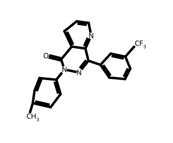 Cc1ccc(-n2nc(-c3cccc(C(F)(F)F)c3)c3ncccc3c2=O)cc1